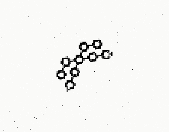 c1ccc(-c2cccc(-c3cc(-c4cccc(-c5ccccc5)c4)c(-c4ccc(-c5ccncc5)cc4)cc3-c3ccc(-c4ccncc4)cc3)c2)cc1